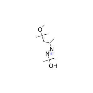 COC(C)(C)CC(C)/N=N/C(C)(C)O